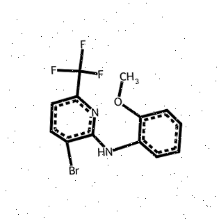 COc1ccccc1Nc1nc(C(F)(F)F)ccc1Br